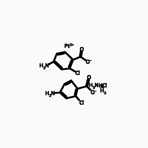 Cl.N.N.Nc1ccc(C(=O)[O-])c(Cl)c1.Nc1ccc(C(=O)[O-])c(Cl)c1.[Pt+2]